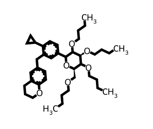 CCCCOC[C@H]1OC(c2ccc(C3CC3)c(Cc3ccc4c(c3)CCCO4)c2)C(OCCCC)[C@@H](OCCCC)C1OCCCC